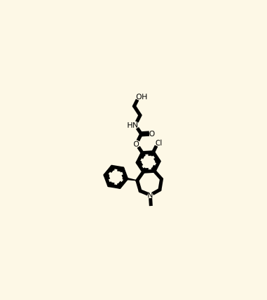 CN1CCc2cc(Cl)c(OC(=O)NCCO)cc2[C@H](c2ccccc2)C1